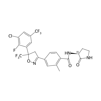 Cc1cc(C2=NOC(c3cc(C(F)(F)F)cc(Cl)c3F)(C(F)(F)F)C2)ccc1C(=O)N[C@H]1CCNC1=O